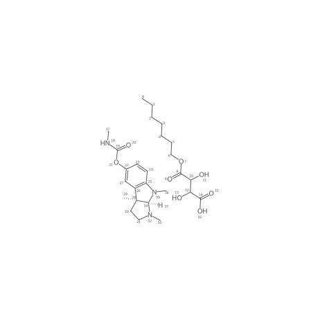 CCCCCCCOC(=O)C(O)C(O)C(=O)O.CNC(=O)Oc1ccc2c(c1)[C@]1(C)CCN(C)[C@@H]1N2C